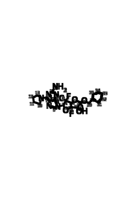 C[C@]1(F)[C@H](n2cnc3c(N4CCCC4)nc(N)nc32)O[C@](F)(CO)[C@H]1OC(=O)OCc1ccccc1